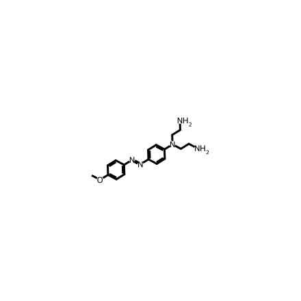 COc1ccc(N=Nc2ccc(N(CCN)CCN)cc2)cc1